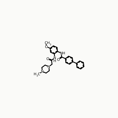 COc1ccc(NC(=O)c2ccc(-c3ccccc3)cc2)c(NC(=O)CN2CCN(C)CC2)c1